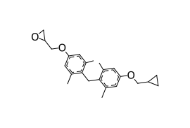 Cc1cc(OCC2CC2)cc(C)c1Cc1c(C)cc(OCC2CO2)cc1C